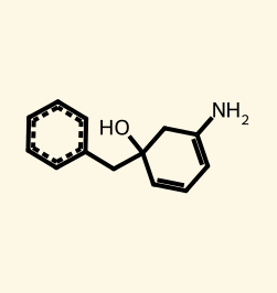 NC1=CC=CC(O)(Cc2ccccc2)C1